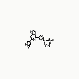 Cn1cc(-c2cc3nccn3c(-c3cnn([C@H](CC#N)[C@H]4CC4(F)F)c3)n2)cn1